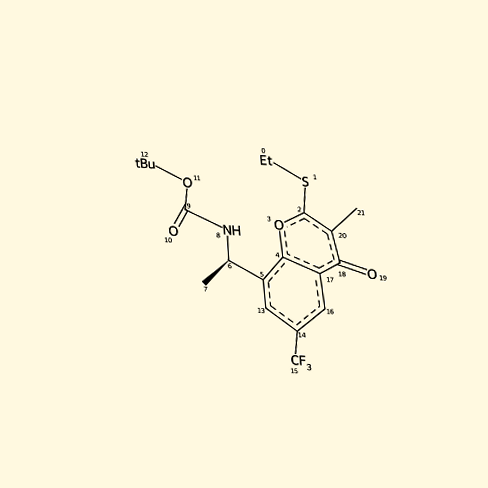 CCSc1oc2c([C@@H](C)NC(=O)OC(C)(C)C)cc(C(F)(F)F)cc2c(=O)c1C